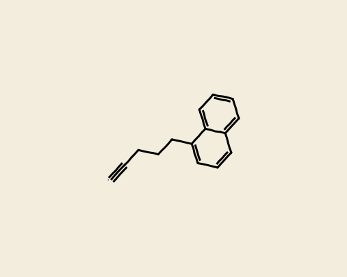 [C]#CCCCc1cccc2ccccc12